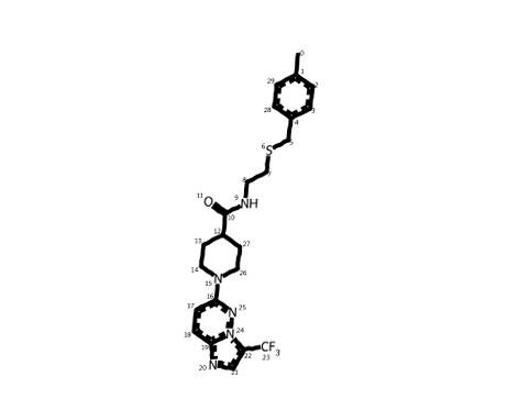 Cc1ccc(CSCCNC(=O)C2CCN(c3ccc4ncc(C(F)(F)F)n4n3)CC2)cc1